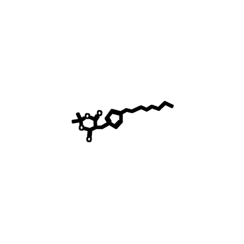 CCCCCCCCc1ccc(CC2C(=O)OC(C)(C)OC2=O)cc1